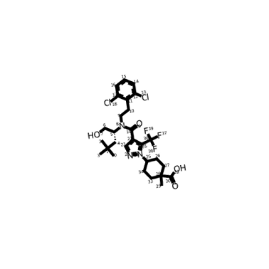 CC(C)(C)C[C@H](CO)N(CCc1c(Cl)cccc1Cl)C(=O)c1cnn(C2CCC(C)(C(=O)O)CC2)c1C(F)(F)F